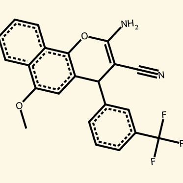 COc1cc2c(c3ccccc13)OC(N)=C(C#N)C2c1cccc(C(F)(F)F)c1